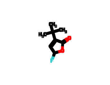 CC(C)(C)C1=CC(F)OC1=O